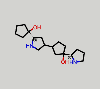 OC1([C@@H]2CC(C3CCC(O)([C@H]4CCCN4)C3)CN2)CCCC1